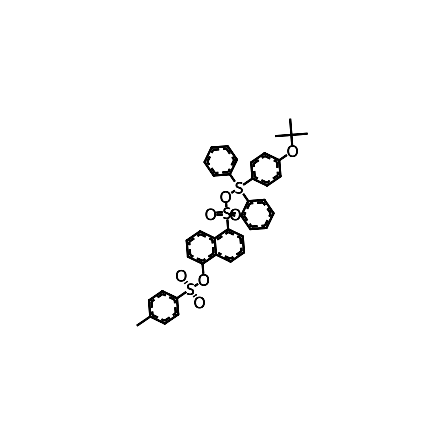 Cc1ccc(S(=O)(=O)Oc2cccc3c(S(=O)(=O)OS(c4ccccc4)(c4ccccc4)c4ccc(OC(C)(C)C)cc4)cccc23)cc1